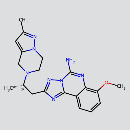 COc1cccc2c1nc(N)n1nc(C[C@H](C)N3CCn4nc(C)cc4C3)nc21